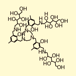 Cc1cc(CNCC(O)C(O)C(O)C(O)CO)c(O)c(CN2CCN(Cc3cc(C)cc(CNCC(O)C(O)C(O)C(O)CO)c3O)CCN(Cc3cc(C)cc(CNCC(O)C(O)C(O)C(O)CO)c3O)CC2)c1